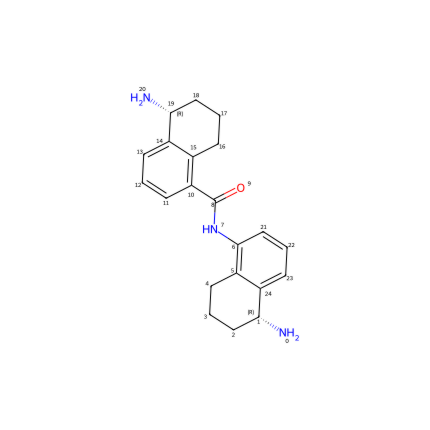 N[C@@H]1CCCc2c(NC(=O)c3cccc4c3CCC[C@H]4N)cccc21